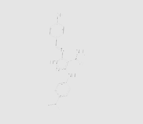 CC(C)c1ccc(Nc2n[nH]c(/N=C/c3ccc(O)cc3)c2C(N)=O)cc1